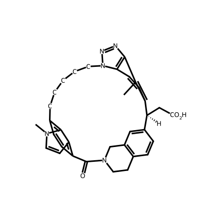 Cc1c2ccc3c1nnn3CCCCCc1ccc(c3ccn(C)c13)C(=O)N1CCc3ccc(cc3C1)[C@@H]2CC(=O)O